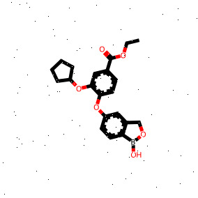 CCOC(=O)c1ccc(Oc2ccc3c(c2)COB3O)c(OC2CCCC2)c1